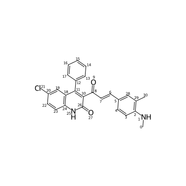 CNc1ccc(/C=C/C(=O)c2c(-c3ccccc3)c3cc(Cl)ccc3[nH]c2=O)cc1C